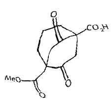 COC(=O)C12CCCC(C(=O)O)(CC1=O)C(=O)C2